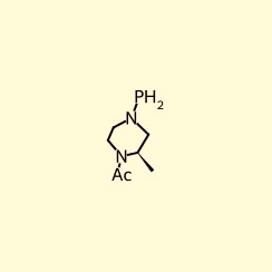 CC(=O)N1CCN(P)C[C@H]1C